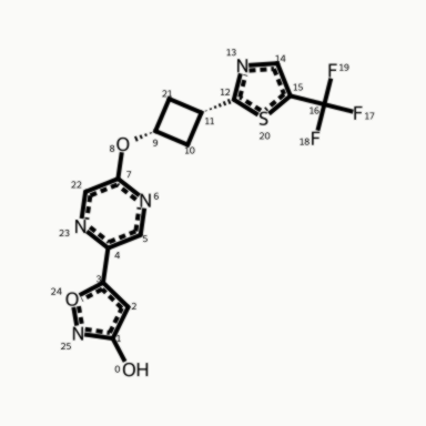 Oc1cc(-c2cnc(O[C@H]3C[C@@H](c4ncc(C(F)(F)F)s4)C3)cn2)on1